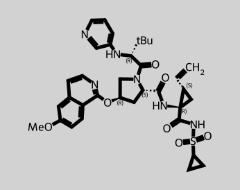 C=C[C@@H]1C[C@]1(NC(=O)[C@@H]1C[C@@H](Oc2nccc3cc(OC)ccc23)CN1C(=O)[C@H](Nc1cccnc1)C(C)(C)C)C(=O)NS(=O)(=O)C1CC1